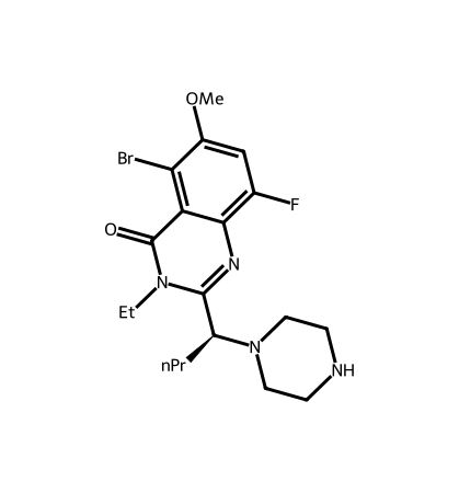 CCC[C@@H](c1nc2c(F)cc(OC)c(Br)c2c(=O)n1CC)N1CCNCC1